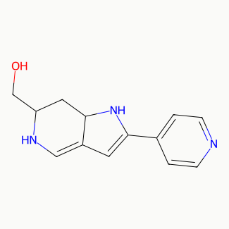 OCC1CC2NC(c3ccncc3)=CC2=CN1